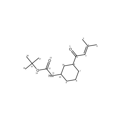 CC(C)=CC(=O)C1CCCC(NC(=O)OC(C)(C)C)C1